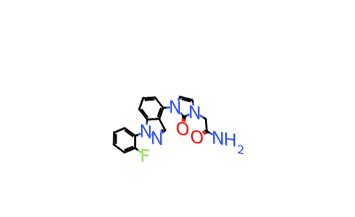 NC(=O)Cn1ccn(-c2cccc3c2cnn3-c2ccccc2F)c1=O